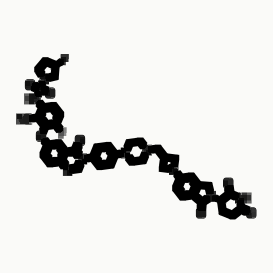 N#Cc1c(NS(=O)(=O)N2CC[C@@H](F)C2)ccc(F)c1Oc1ccc2ncn(-c3ccc(N4CCN(CC5CN(c6ccc7c(c6)CN([C@@H]6CCC(=O)NC6=O)C7=O)C5)CC4)cc3)c(=O)c2c1